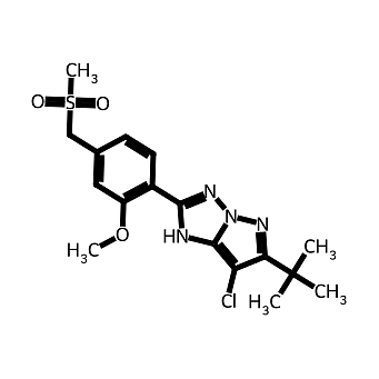 COc1cc(CS(C)(=O)=O)ccc1-c1nn2nc(C(C)(C)C)c(Cl)c2[nH]1